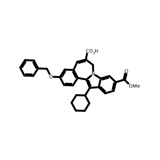 COC(=O)c1ccc2c(C3CCCCC3)c3n(c2c1)CC(C(=O)O)=Cc1cc(OCc2ccccc2)ccc1-3